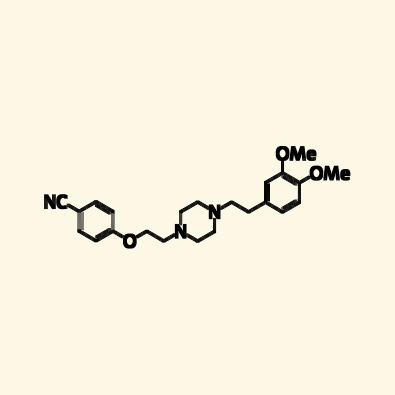 COc1ccc(CCN2CCN(CCOc3ccc(C#N)cc3)CC2)cc1OC